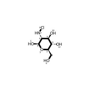 OC[C@H]1O[C@@H](O)[C@H](NCl)[C@@H](O)[C@@H]1O